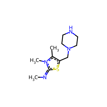 CN=c1sc(CN2CCNCC2)c(C)n1C